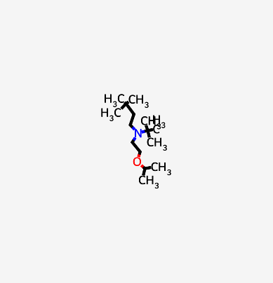 CC(C)OCCN(CCC(C)(C)C)C(C)(C)C